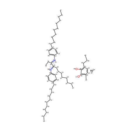 CCCCCCCCCCCc1ccc(/N=C(CC)/C(CCCCCCCC)=N/c2ccc(CCCCCCCCCCC)cc2)cc1.CCCc1ccc(C)c([O-])c1[O-].[Ni+2]